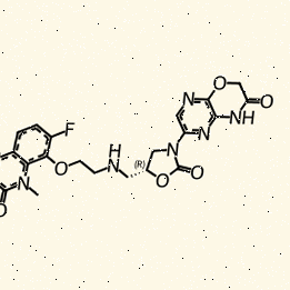 Cn1c(=O)cnc2ccc(F)c(OCCNC[C@@H]3CN(c4cnc5c(n4)NC(=O)CO5)C(=O)O3)c21